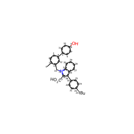 Cc1ccc(-c2ccc(O)cc2)cc1Cn1c(C(=O)O)c(-c2ccc(C(C)(C)C)cc2)c2ccccc21